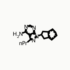 CCCc1nn(C2Cc3ccccc3C2)c2ncnc(N)c12